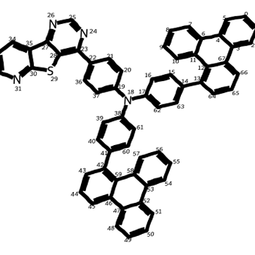 c1ccc2c(c1)c1ccccc1c1c(-c3ccc(N(c4ccc(-c5ncnc6c5sc5ncccc56)cc4)c4ccc(-c5cccc6c7ccccc7c7ccccc7c56)cc4)cc3)cccc21